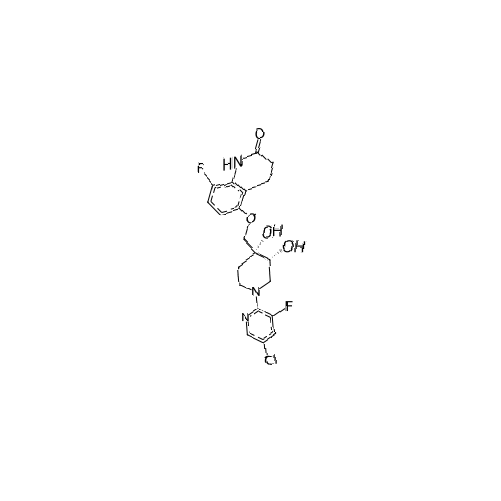 O=C1CCc2c(OC[C@]3(O)CCN(c4ncc(Cl)cc4F)C[C@H]3O)ccc(F)c2N1